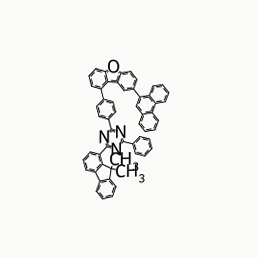 CC1(C)c2ccccc2-c2cccc(-c3nc(-c4ccccc4)nc(-c4ccc(-c5cccc6oc7ccc(-c8cc9ccccc9c9ccccc89)cc7c56)cc4)n3)c21